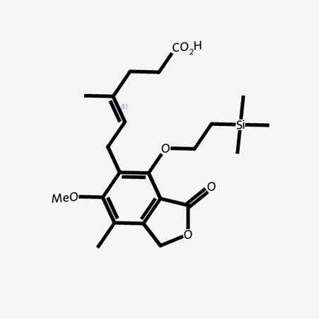 COc1c(C)c2c(c(OCC[Si](C)(C)C)c1C/C=C(\C)CCC(=O)O)C(=O)OC2